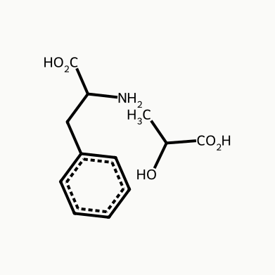 CC(O)C(=O)O.NC(Cc1ccccc1)C(=O)O